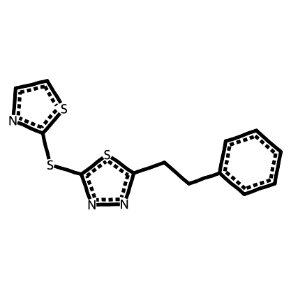 c1ccc(CCc2nnc(Sc3nccs3)s2)cc1